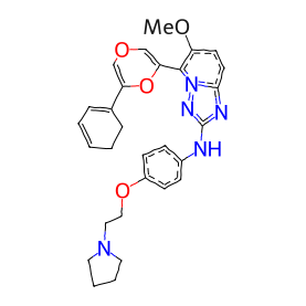 COc1ccc2nc(Nc3ccc(OCCN4CCCC4)cc3)nn2c1C1=COC=C(C2=CC=CCC2)O1